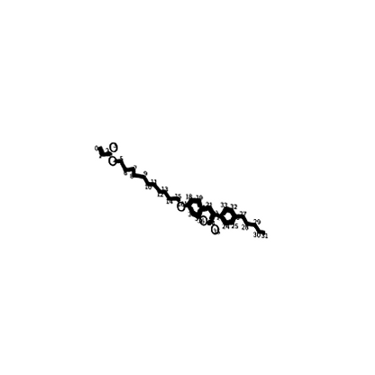 C=CC(=O)OCCCCCCCCCCCOc1ccc2cc(-c3ccc(CCCCC)cc3)c(=O)oc2c1